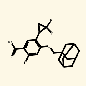 O=C(O)c1cc(C2CC2(F)F)c(OCC23CC4CC(CC(C4)C2)C3)cc1F